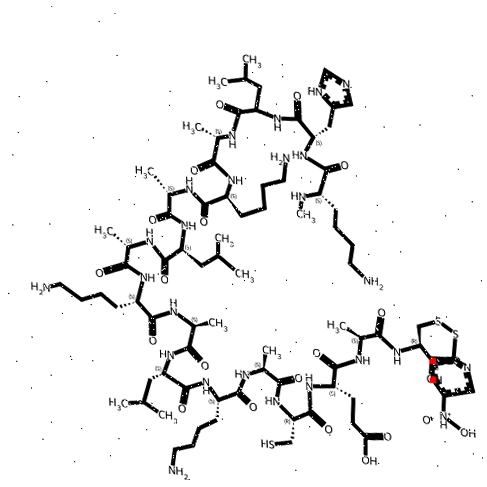 CN[C@@H](CCCCN)C(=O)N[C@@H](Cc1cnc[nH]1)C(=O)NC(CC(C)C)C(=O)N[C@@H](C)C(=O)N[C@@H](CCCCN)C(=O)N[C@@H](C)C(=O)N[C@@H](CC(C)C)C(=O)N[C@@H](C)C(=O)N[C@@H](CCCCN)C(=O)N[C@@H](C)C(=O)N[C@@H](CC(C)C)C(=O)N[C@@H](CCCCN)C(=O)N[C@@H](C)C(=O)N[C@@H](CS)C(=O)N[C@@H](CCC(=O)O)C(=O)N[C@@H](C)C(=O)N[C@@H](CSSc1ccc([NH+]([O-])O)cn1)C(=O)O